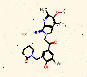 Br.CCOc1c(C)nc2c(c1C)CN(CC(=O)c1cc(CN3CCCCC3=O)c(O)c(C(C)(C)C)c1)C2=N